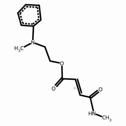 CNC(=O)/C=C/C(=O)OCCN(C)c1ccccc1